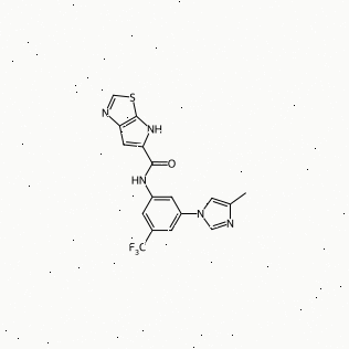 Cc1cn(-c2cc(NC(=O)c3cc4ncsc4[nH]3)cc(C(F)(F)F)c2)cn1